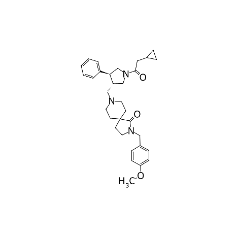 COc1ccc(CN2CCC3(CCN(C[C@H]4CN(C(=O)CC5CC5)C[C@@H]4c4ccccc4)CC3)C2=O)cc1